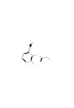 CCC(=O)Oc1c(O)cccc1C#N